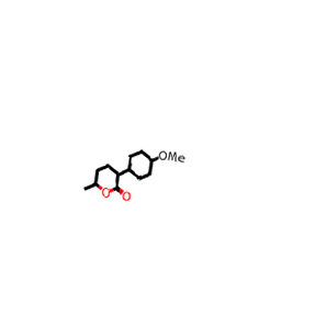 COC1CCC(C2CCC(C)OC2=O)CC1